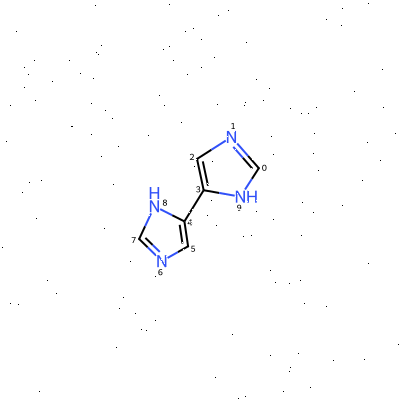 c1ncc(-c2cnc[nH]2)[nH]1